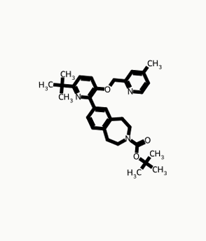 Cc1ccnc(COc2ccc(C(C)(C)C)nc2-c2ccc3c(c2)CCN(C(=O)OC(C)(C)C)CC3)c1